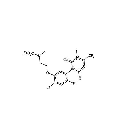 CCOC(=O)N(C)CCOc1cc(-n2c(=O)cc(C(F)(F)F)n(C)c2=O)c(F)cc1Cl